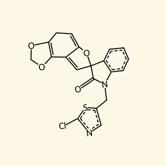 O=C1N(Cc2cnc(Cl)s2)c2ccccc2C12C=C1C(=CCC3=C1OCO3)O2